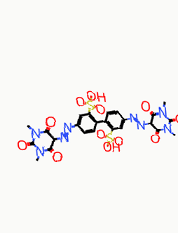 CN1C(=O)C(N=Nc2ccc(-c3ccc(N=NC4C(=O)N(C)C(=O)N(C)C4=O)cc3S(=O)(=O)O)c(S(=O)(=O)O)c2)C(=O)N(C)C1=O